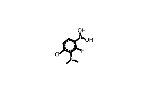 CN(C)c1c(Cl)ccc(B(O)O)c1F